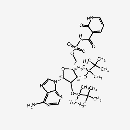 CC(C)(C)[Si](C)(C)OC1[C@@H](O[Si](C)(C)C(C)(C)C)[C@@H](COS(=O)(=O)NC(=O)c2ccc[nH]c2=O)O[C@H]1n1cnc2c(N)ncnc21